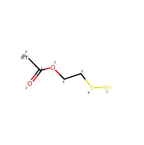 CC(C)C(=O)OCCSS